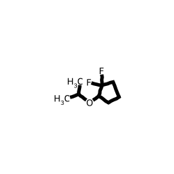 CC(C)OC1CCCC1(F)F